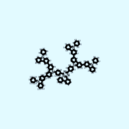 c1ccc(-c2ccccc2-c2nc(-c3ccc(-n4c5ccc(-c6ccc7c(c6)c6ccccc6n7-c6ccccc6)cc5c5cc(-c6ccc7c(c6)c6ccccc6n7-c6ccccc6)ccc54)cc3)nc(-c3ccc(-n4c5ccc(-c6ccc7c(c6)c6ccccc6n7-c6ccccc6)cc5c5cc(-c6ccc7c(c6)c6ccccc6n7-c6ccccc6)ccc54)cc3)n2)cc1